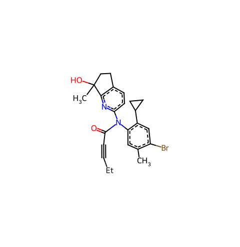 CCC#CC(=O)N(c1ccc2c(n1)C(C)(O)CC2)c1cc(C)c(Br)cc1C1CC1